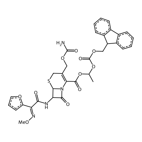 CON=C(C(=O)NC1C(=O)N2C(C(=O)OC(C)OC(=O)OCC3c4ccccc4-c4ccccc43)=C(COC(N)=O)CSC12)c1ccco1